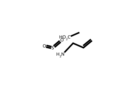 C=CCN.CC(=O)O.O=S=O